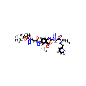 Cc1c(NC(=O)CCNC(=O)OC(C)(C)C)ccc2nc(NCC(=O)N(C)CCc3ccccn3)oc(=O)c12